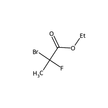 CCOC(=O)C(C)(F)Br